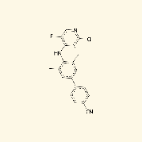 Cc1cc(-c2ccc(C#N)cc2)cc(C)c1Nc1nc(Cl)ncc1F